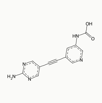 Nc1ncc(C#Cc2cncc(NC(=O)O)c2)cn1